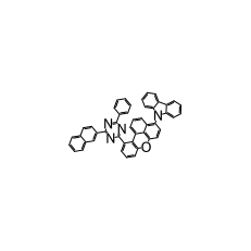 c1ccc(-c2nc(-c3ccc4ccccc4c3)nc(-c3cccc4c3-c3cccc5c(-n6c7ccccc7c7ccccc76)ccc(c35)O4)n2)cc1